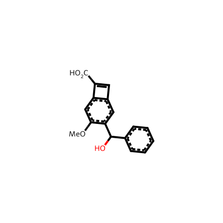 COc1cc2c(cc1C(O)c1ccccc1)C=C2C(=O)O